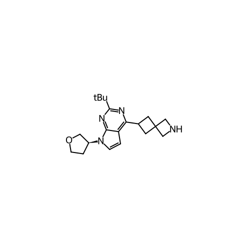 CC(C)(C)c1nc(C2CC3(CNC3)C2)c2ccn([C@H]3CCOC3)c2n1